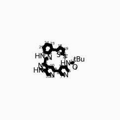 CC(C)(C)C(=O)Nc1cncc(-c2cc3c(-c4nc5c(-c6ccc(F)s6)cccc5[nH]4)n[nH]c3cn2)c1